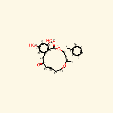 CC1C[C@@H](Cc2ccccc2)OC(=O)c2c(O)cc(O)cc2CC(=O)/C=C/CCO1